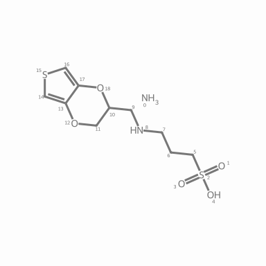 N.O=S(=O)(O)CCCNCC1COc2cscc2O1